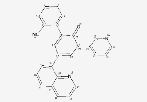 N#Cc1ccccc1-c1cc(-c2cccc3cccnc23)cn(-c2cccnc2)c1=O